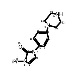 CC(C)n1ccn(-c2ccc(N3CCNCC3)cc2)c1=O